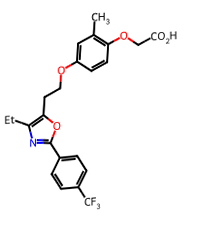 CCc1nc(-c2ccc(C(F)(F)F)cc2)oc1CCOc1ccc(OCC(=O)O)c(C)c1